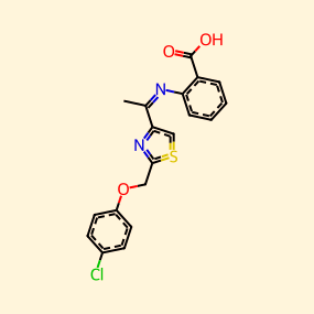 CC(=Nc1ccccc1C(=O)O)c1csc(COc2ccc(Cl)cc2)n1